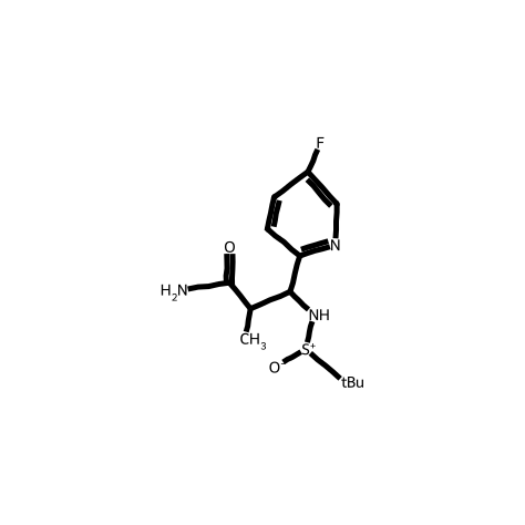 CC(C(N)=O)C(N[S+]([O-])C(C)(C)C)c1ccc(F)cn1